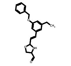 CCc1cc(C=CC2NC(C=O)CO2)cc(OCc2ccccc2)c1